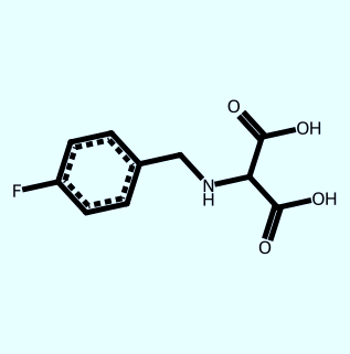 O=C(O)C(NCc1ccc(F)cc1)C(=O)O